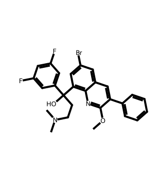 COc1nc2c(C(O)(CCN(C)C)c3cc(F)cc(F)c3)cc(Br)cc2cc1-c1ccccc1